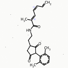 C=C/C=C\C=C(/C)C(=O)NCCC1CC(=O)C(c2c(C)cccc2C)C1=O